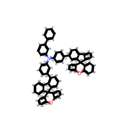 c1ccc(-c2cccc(N(c3ccc(-c4ccc5c(c4)C4(c6ccccc6Oc6ccccc64)c4ccccc4-5)cc3)c3cccc(-c4cccc5c4-c4ccccc4C54c5ccccc5Oc5ccccc54)c3)c2)cc1